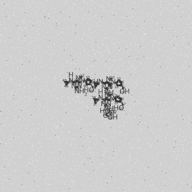 Nc1nc(NC2CC2)c2ncn([C@H]3C=C[C@@H](CO)C3)c2n1.Nc1nc(NC2CC2)c2ncn([C@H]3C=C[C@@H](CO)C3)c2n1.Nc1nc(NC2CC2)c2ncn([C@H]3C=C[C@@H](CO)C3)c2n1.O=S(=O)(O)O